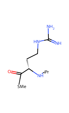 CSC(=O)[C@H](CCNC(=N)N)NC(C)C